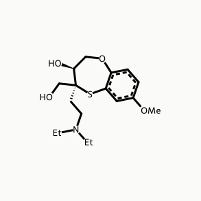 CCN(CC)CC[C@@]1(CO)Sc2cc(OC)ccc2OC[C@@H]1O